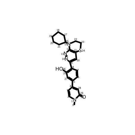 Cn1ccc(-c2ccc(-c3cc4c(nn3)N(C3CCCCC3)CCS4)c(O)c2)cc1=O